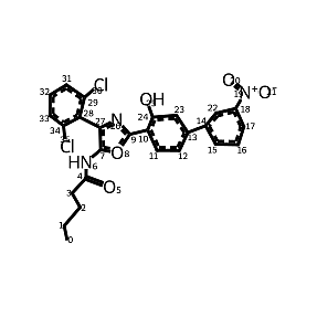 CCCCC(=O)Nc1oc(-c2ccc(-c3cccc([N+](=O)[O-])c3)cc2O)nc1-c1c(Cl)cccc1Cl